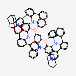 c1ccc(-c2cccc(-c3ccccc3)c2N2c3ccccc3B3c4cc5c(cc4N(c4ccccc4)c4cc(N6C7CCCC6CCC7)cc2c43)N(c2c(-c3ccccc3)cccc2-c2ccccc2)c2cc(N3C4CC6CC(C4)CC3C6)cc3c2B5c2ccccc2N3c2c(-c3ccccc3)cccc2-c2ccccc2)cc1